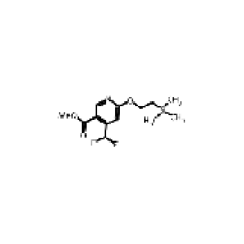 COC(=O)c1cnc(OCC[Si](C)(C)C)cc1C(F)F